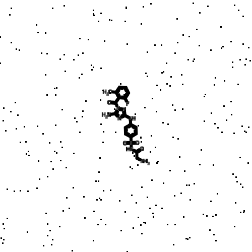 Cc1cccc(F)c1C(=O)n1nc(Nc2ccc(S(=O)(=O)NC(=O)CN)cc2)nc1N